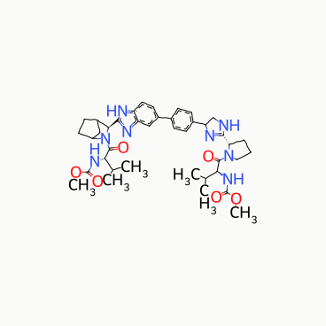 COC(=O)N[C@H](C(=O)N1CCC[C@H]1C1=NC(c2ccc(-c3ccc4[nH]c([C@@H]5C6CCC(C6)N5C(=O)[C@@H](NC(=O)OC)C(C)C)nc4c3)cc2)CN1)C(C)C